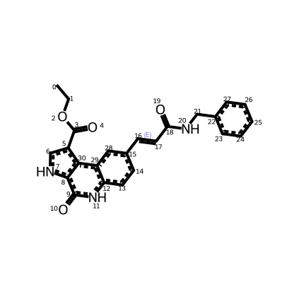 CCOC(=O)c1c[nH]c2c(=O)[nH]c3ccc(/C=C/C(=O)NCc4ccccc4)cc3c12